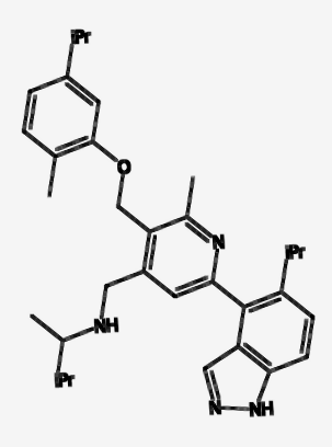 Cc1ccc(C(C)C)cc1OCc1c(CNC(C)C(C)C)cc(-c2c(C(C)C)ccc3[nH]ncc23)nc1C